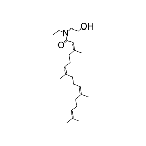 CCN(CCO)C(=O)C=C(C)CCC=C(C)CCC=C(C)CCC=C(C)C